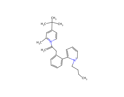 C=C(Cc1ccccc1-c1cccc[n+]1CCCC)[n+]1ccc(C(C)(C)C)cc1C